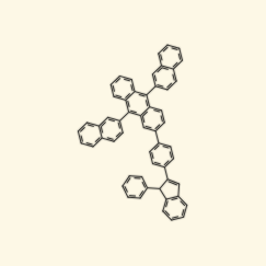 C1=C(c2ccc(-c3ccc4c(-c5ccc6ccccc6c5)c5ccccc5c(-c5ccc6ccccc6c5)c4c3)cc2)C(c2ccccc2)c2ccccc21